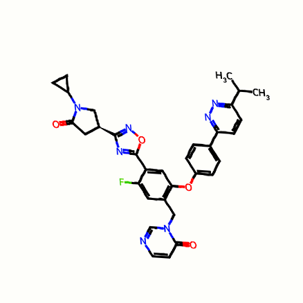 CC(C)c1ccc(-c2ccc(Oc3cc(-c4nc([C@H]5CC(=O)N(C6CC6)C5)no4)c(F)cc3Cn3cnccc3=O)cc2)nn1